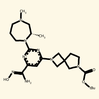 C[C@H]1CN(C)CCCN1c1nc(/C(N)=N/O)cc(N2CC3(CCN(C(=O)OC(C)(C)C)C3)C2)n1